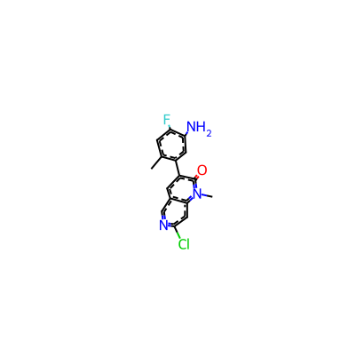 Cc1cc(F)c(N)cc1-c1cc2cnc(Cl)cc2n(C)c1=O